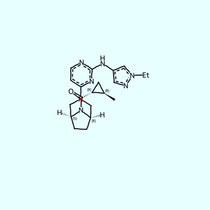 CCn1cc(Nc2nccc(N3C[C@H]4CC[C@@H](C3)N4C(=O)[C@@H]3C[C@H]3C)n2)cn1